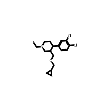 Clc1ccc(C2CCN(CI)CC2COCC2CC2)cc1Cl